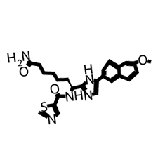 COc1ccc2cc(-c3cnc([C@H](CCCCCC(N)=O)NC(=O)c4cncs4)[nH]3)ccc2c1